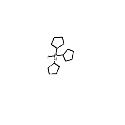 I[PH](C1CCCC1)(C1CCCC1)C1CCCC1